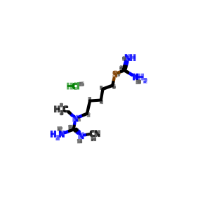 CN(CCCCCSC(=N)N)C(N)=NC#N.Cl